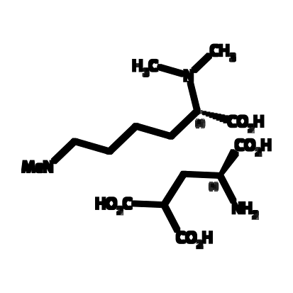 CNCCCC[C@@H](C(=O)O)N(C)C.N[C@@H](CC(C(=O)O)C(=O)O)C(=O)O